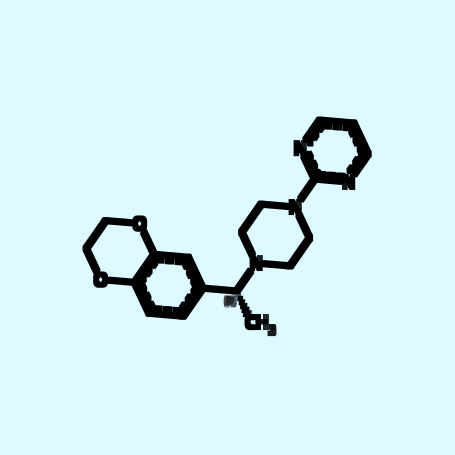 C[C@H](c1ccc2c(c1)OCCO2)N1CCN(c2ncccn2)CC1